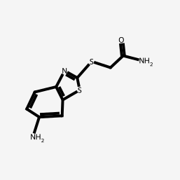 NC(=O)CSc1nc2ccc(N)cc2s1